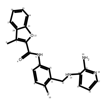 Cc1c(C(=O)Nc2ccc(F)c(CNc3cccnc3N)c2)oc2ccccc12